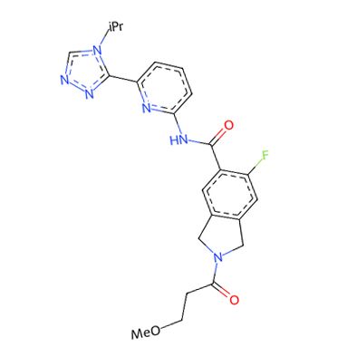 COCCC(=O)N1Cc2cc(F)c(C(=O)Nc3cccc(-c4nncn4C(C)C)n3)cc2C1